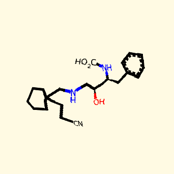 N#CCCC1(CNC[C@H](O)[C@H](Cc2ccccc2)NC(=O)O)CCCCC1